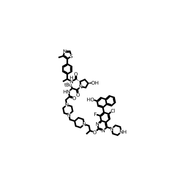 Cc1ncsc1-c1ccc(C(C)NC(=O)[C@@H]2C[C@@H](O)CN2C(=O)C(NC(=O)CN2CCN(CC3CCN(CC(C)Oc4nc(N5CCNCC5)c5cc(Cl)c(-c6cc(O)cc7ccccc67)c(F)c5n4)CC3)CC2)C(C)(C)C)cc1